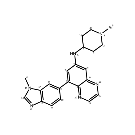 CC(=O)N1CCC(Nc2cc(-c3ccc4ncn(C)c4c3)c3nccnc3c2)CC1